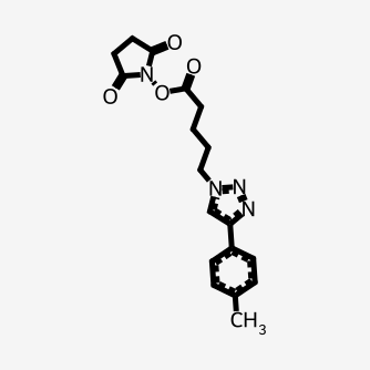 Cc1ccc(-c2cn(CCCCC(=O)ON3C(=O)CCC3=O)nn2)cc1